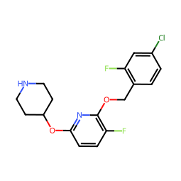 Fc1cc(Cl)ccc1COc1nc(OC2CCNCC2)ccc1F